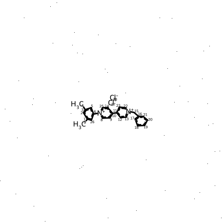 Cc1cc(C)cc(-[n+]2ccc(-c3cc[n+](Cc4ccccc4)cc3)cc2)c1.[Cl-].[Cl-]